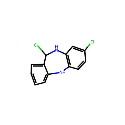 Clc1ccc2c(c1)NC(Cl)c1ccccc1N2